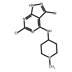 CN1CCC(Nc2nc(Cl)nc3[nH]nc(Br)c23)CC1